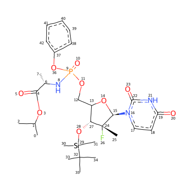 CC(C)OC(=O)[C@H](C)NP(=O)(OCC1O[C@@H](n2ccc(=O)[nH]c2=O)[C@](C)(F)[C@@H]1O[Si](C)(C)C(C)(C)C)Oc1ccccc1